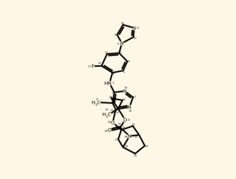 Cc1c(Nc2ccc(-n3ccnc3)cc2F)ncnc1OC1CC2CCC(C1)N2C(=O)OC1(C)CC1